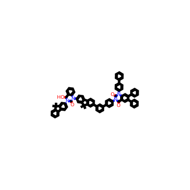 CC1(C)c2cc(-c3cccc(-c4ccc(-n5c(=O)c6cc(-c7ccccc7)c(-c7ccccc7)cc6n(-c6ccc(-c7ccccc7)cc6)c5=O)cc4)c3)ccc2-c2ccc(N3C(=O)N(c4ccc5c(c4)C(C)(C)c4ccccc4-5)C(O)c4ccccc43)cc21